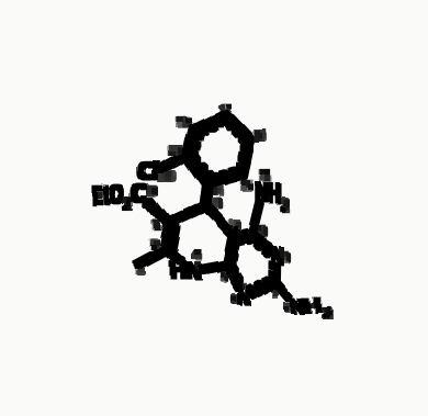 CCOC(=O)C1=C(C)Nc2nc(N)nc(N)c2C1c1ccccc1Cl